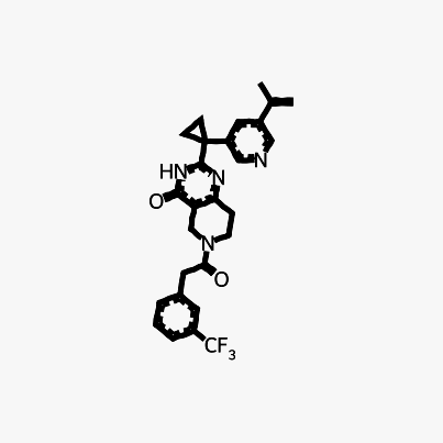 C=C(C)c1cncc(C2(c3nc4c(c(=O)[nH]3)CN(C(=O)Cc3cccc(C(F)(F)F)c3)CC4)CC2)c1